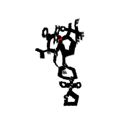 CC(C)[C@H]1C(=O)NCCN1C[C@H]1CN(S(=O)(=O)c2cccs2)CCN1c1ccc(C(C)(O)C(F)(F)F)cc1